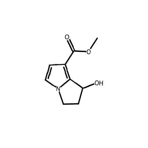 COC(=O)c1ccn2c1C(O)CC2